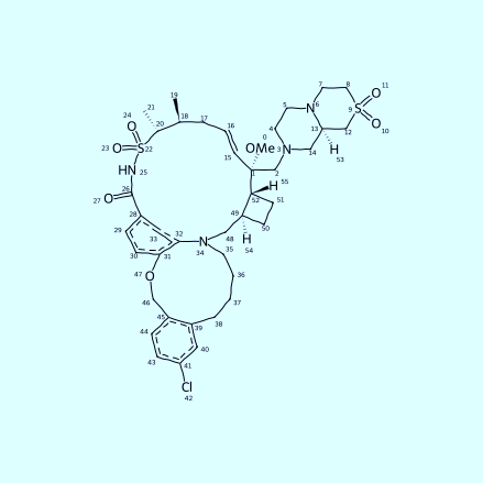 CO[C@@]1(CN2CCN3CCS(=O)(=O)C[C@H]3C2)/C=C/C[C@H](C)[C@@H](C)S(=O)(=O)NC(=O)c2ccc3c(c2)N(CCCCc2cc(Cl)ccc2CO3)C[C@@H]2CC[C@H]21